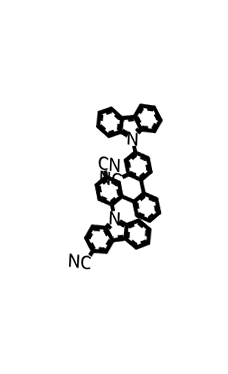 N#Cc1ccc(-n2c3ccccc3c3cc(C#N)ccc32)c(-c2ccccc2-c2ccc(-n3c4ccccc4c4ccccc43)cc2C#N)c1